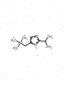 CC(C)c1ncc(C[N+](C)(C)C)o1